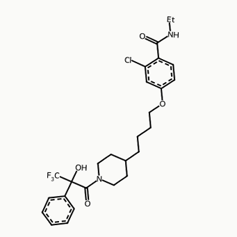 CCNC(=O)c1ccc(OCCCCC2CCN(C(=O)C(O)(c3ccccc3)C(F)(F)F)CC2)cc1Cl